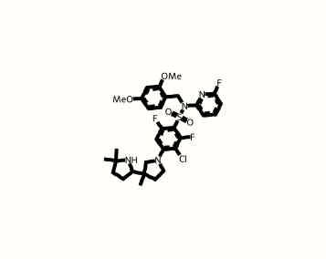 COc1ccc(CN(c2cccc(F)n2)S(=O)(=O)c2c(F)cc(N3CCC(C)(C4CCC(C)(C)N4)C3)c(Cl)c2F)c(OC)c1